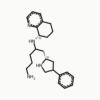 NCCCC(C[C@@H]1CC(c2ccccc2)CN1)N[C@H]1CCCc2cccnc21